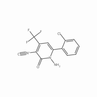 [C-]#[N+]c1c(C(F)(F)F)cc(-c2ccccc2Cl)n(N)c1=O